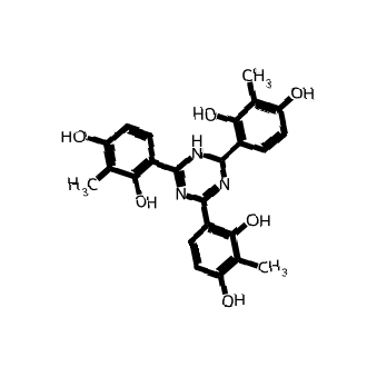 Cc1c(O)ccc(C2=NC(c3ccc(O)c(C)c3O)NC(c3ccc(O)c(C)c3O)=N2)c1O